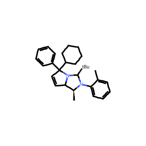 Cc1ccccc1N1C(C(C)(C)C)N2C(C=CC2(c2ccccc2)C2CCCCC2)[C@@H]1C